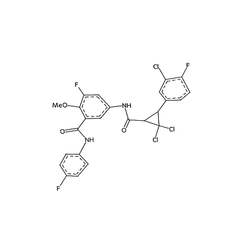 COc1c(F)cc(NC(=O)C2C(c3ccc(F)c(Cl)c3)C2(Cl)Cl)cc1C(=O)Nc1ccc(F)cc1